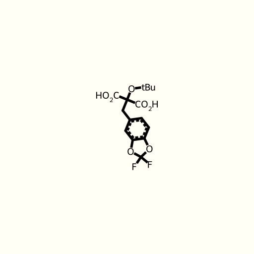 CC(C)(C)OC(Cc1ccc2c(c1)OC(F)(F)O2)(C(=O)O)C(=O)O